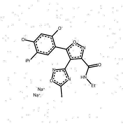 CCNC(=O)c1noc(-c2cc(C(C)C)c([O-])cc2[O-])c1-c1noc(C)n1.[Na+].[Na+]